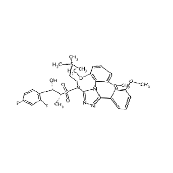 COc1cccc(-c2nnc(N(CCS(C)(C)C)S(=O)(=O)[C@H](C)[C@@H](O)c3ccc(F)cc3F)n2-c2c(OC)cccc2OC)n1